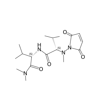 CC(C)[C@H](NC(=O)[C@H](C(C)C)N(C)N1C(=O)C=CC1=O)C(=O)N(C)C